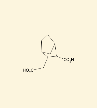 O=C(O)CC1C2CCC(C2)C1C(=O)O